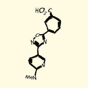 CNc1ccc(-c2noc(-c3cccc(C(=O)O)c3)n2)cn1